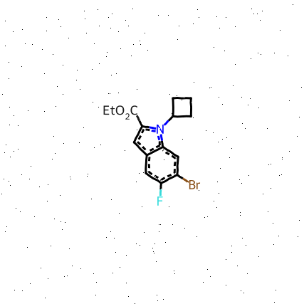 CCOC(=O)c1cc2cc(F)c(Br)cc2n1C1CCC1